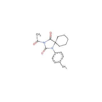 CC(=O)N1C(=O)N(c2ccc(C)cc2)C2(CCCCC2)C1=O